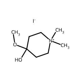 COC1(O)CC[N+](C)(C)CC1.[I-]